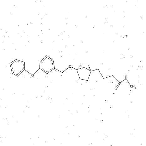 CNC(=O)CCCC12CCC(OCc3cccc(Oc4ccccc4)c3)(CC1)C2